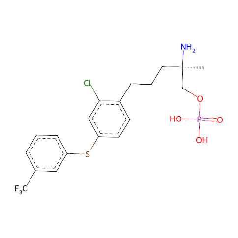 C[C@@](N)(CCCc1ccc(Sc2cccc(C(F)(F)F)c2)cc1Cl)COP(=O)(O)O